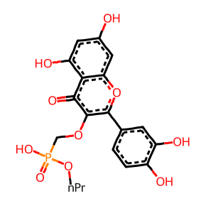 CCCOP(=O)(O)COc1c(-c2ccc(O)c(O)c2)oc2cc(O)cc(O)c2c1=O